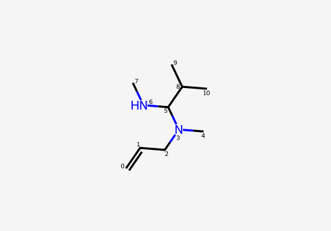 C=CCN(C)C(NC)C(C)C